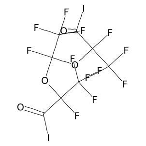 O=C(I)C(F)(OC(F)(OC(F)(C(=O)I)C(F)(F)F)C(F)(F)F)C(F)(F)F